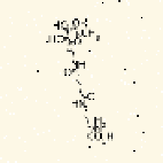 C[C@@H]1O[C@@H](OCCNC(=O)CCCCC(=O)NCCCC[C@H](N)C(=O)O)[C@@H](O)[C@H](O)[C@@H]1O